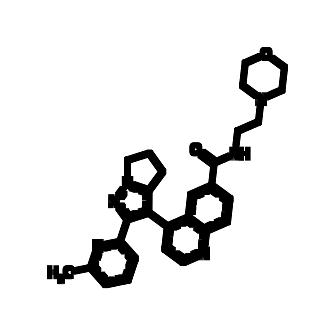 Cc1cccc(-c2nn3c(c2-c2ccnc4ccc(C(=O)NCCN5CCOCC5)cc24)CCC3)n1